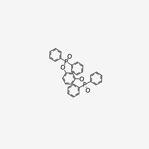 O=P(Oc1cccc(OP(=O)(c2ccccc2)c2ccccc2)c1)(c1ccccc1)c1ccccc1